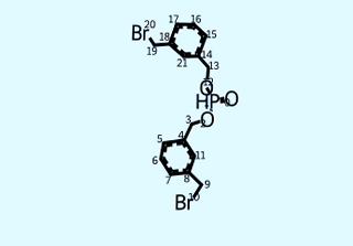 O=[PH](OCc1cccc(CBr)c1)OCc1cccc(CBr)c1